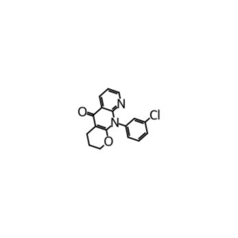 O=c1c2c(n(-c3cccc(Cl)c3)c3ncccc13)OCCC2